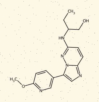 CCC(CO)Nc1ccc2ncc(-c3ccc(OC)nc3)n2n1